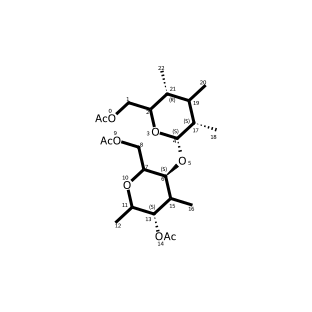 CC(=O)OCC1O[C@@H](O[C@@H]2C(COC(C)=O)OC(C)[C@@H](OC(C)=O)C2C)[C@@H](C)C(C)[C@H]1C